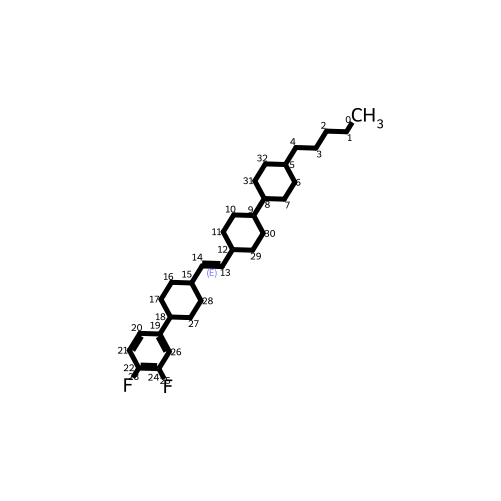 CCCCCC1CCC(C2CCC(/C=C/C3CCC(c4ccc(F)c(F)c4)CC3)CC2)CC1